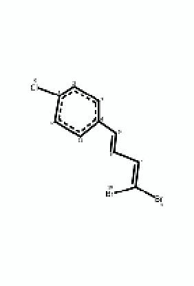 Clc1ccc(/C=C/C=C(Br)Br)cc1